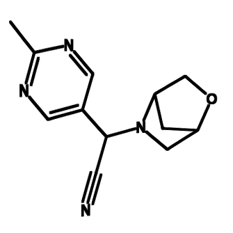 Cc1ncc(C(C#N)N2CC3CC2CO3)cn1